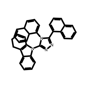 C1=CC2C=CC=C(n3c(-c4cccc5ccccc45)nnc3-n3c4c(c5ccccc53)CCC=C4)C2C=C1